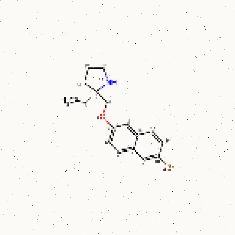 CC[C@]1(COc2ccc3cc(Br)ccc3c2)CCCN1